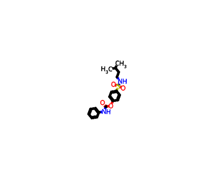 CC(C)CCNS(=O)(=O)c1ccc(OC(=O)Nc2ccccc2)cc1